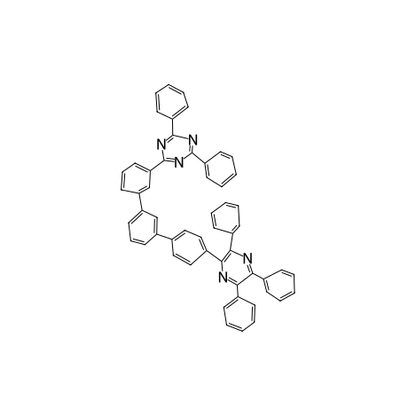 c1ccc(-c2nc(-c3ccccc3)nc(-c3cccc(-c4cccc(-c5ccc(-c6nc(-c7ccccc7)c(-c7ccccc7)nc6-c6ccccc6)cc5)c4)c3)n2)cc1